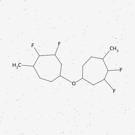 CC1CCC(OC2CCC(C)C(F)C(F)C2)CC(F)C1F